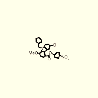 COc1ccc(C(=O)Oc2ccc([N+](=O)[O-])cc2)c2c3cc(Cl)ccc3n(Cc3ccccc3)c12